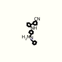 N#Cc1cccc(-c2ccccc2Nc2ccc(C(N)/N=C/c3ccccc3)cc2)c1